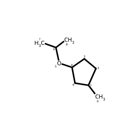 CC1CCC(OC(C)C)C1